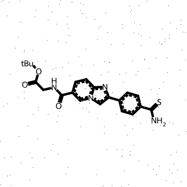 CC(C)(C)OC(=O)CNC(=O)c1ccc2nc(-c3ccc(C(N)=S)cc3)cn2c1